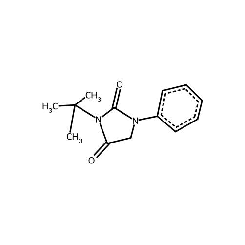 CC(C)(C)N1C(=O)CN(c2ccccc2)C1=O